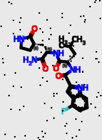 CC(C)C[C@H](NC(=O)c1cc2c(F)cccc2[nH]1)C(=O)N[C@@H](C[C@@H]1CCNC1=O)C(N)=O